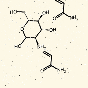 C=CC(N)=O.C=CC(N)=O.N[C@H]1C(O)O[C@H](CO)[C@@H](O)[C@@H]1O